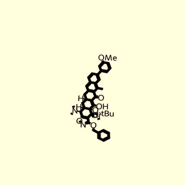 COc1cccc(-c2ccc3cc4c(c(C)c3c2)C(=O)C2=C(O)[C@]3(O[Si](C)(C)C(C)(C)C)C(=O)c5c(OCc6ccccc6)noc5[C@@H](N(C)C)[C@@H]3C[C@@H]2C4)c1